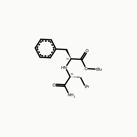 CC(C)C[C@@H](N[C@@H](Cc1ccccc1)C(=O)OC(C)(C)C)C(N)=O